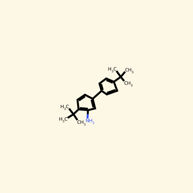 CC(C)(C)c1ccc(-c2ccc(C(C)(C)C)c(N)c2)cc1